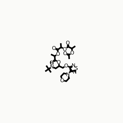 CC(=O)OC(C)C(=O)OC(C)C(=O)OC(C)C(=O)OC(CNC(C)(C)C)COc1nsnc1N1CCOCC1